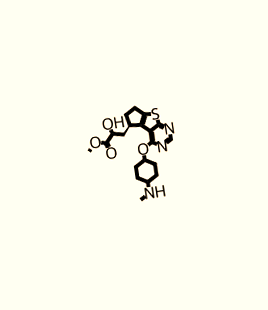 CNC1CCC(Oc2ncnc3sc4c(c23)[C@@H](CC(O)C(=O)OC)CC4)CC1